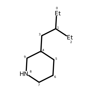 CCC(CC)C[C]1CCCNC1